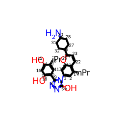 CCCc1cc(-n2c(O)nnc2-c2cc(C(C)C)c(O)cc2O)ccc1/C=C\C(=O)C1CCC(N)CC1